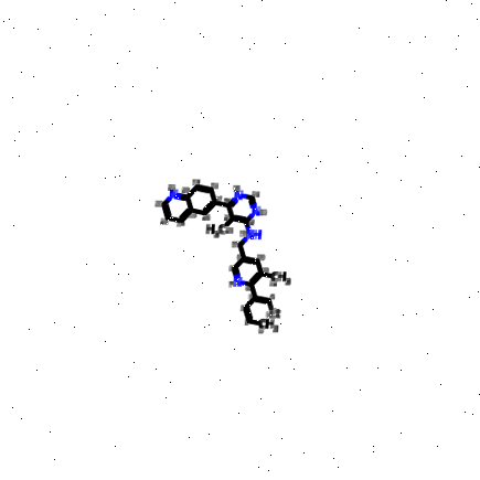 C/C=C\C(=C/CC)c1ncc(CNc2ncnc(-c3ccc4ncccc4c3)c2C)cc1C